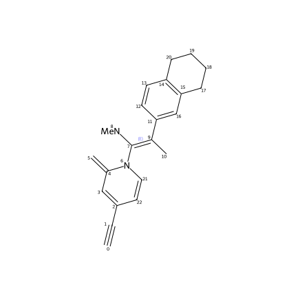 C#CC1=CC(=C)N(/C(NC)=C(\C)c2ccc3c(c2)CCCC3)C=C1